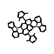 Cc1cccc(C)c1-c1cc2c3c(cc4c(-c5c(C)cccc5C)cc5c6c(cc1c3c46)B1c3ccccc3-c3cccc-5c31)B1c3ccccc3-c3cccc-2c31